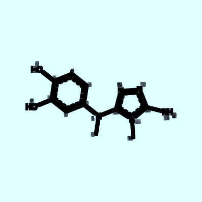 CN(c1ccc(O)c(O)c1)c1nnc(N)n1C